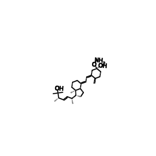 C=C1CC[C@](O)(ON)C/C1=C/C=C1\CCC[C@@]2(C)C1CC[C@@H]2[C@H](C)/C=C/[C@H](C)C(C)(C)O